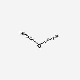 SCCOCCOCCSCCCc1ccccc1CCCSCCOCCOCCS